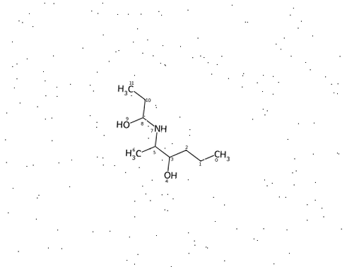 CCCC(O)C(C)NC(O)CC